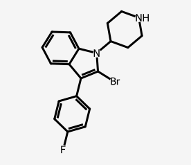 Fc1ccc(-c2c(Br)n(C3CCNCC3)c3ccccc23)cc1